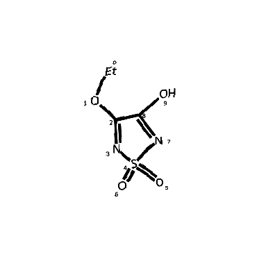 CCOC1=NS(=O)(=O)N=C1O